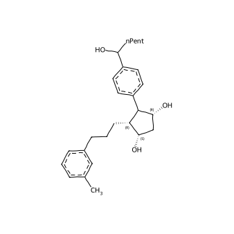 CCCCCC(O)c1ccc(C2[C@H](O)C[C@H](O)[C@@H]2CCCc2cccc(C)c2)cc1